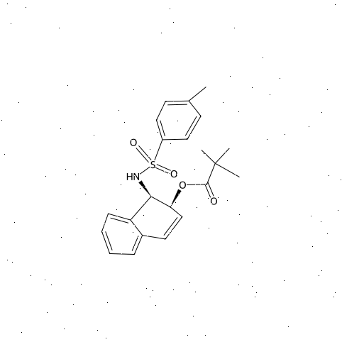 Cc1ccc(S(=O)(=O)N[C@@H]2c3ccccc3C=C[C@@H]2OC(=O)C(C)(C)C)cc1